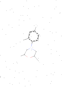 Cc1cc([N+](=O)[O-])ccc1N1CC(C)OC(C)C1